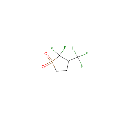 O=S1(=O)CCC(C(F)(F)F)C1(F)F